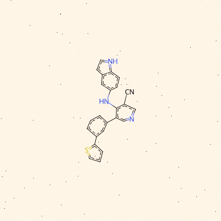 N#Cc1cncc(-c2cccc(-c3cccs3)c2)c1Nc1ccc2[nH]ccc2c1